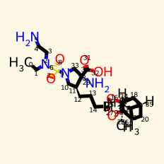 CCN(CCN)S(=O)(=O)N1C[C@H](CCCB2O[C@H]3C[C@H]4C[C@H](C4(C)C)[C@@]3(C)O2)[C@](N)(C(=O)O)C1